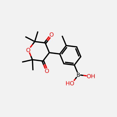 Cc1ccc(B(O)O)cc1C1C(=O)C(C)(C)OC(C)(C)C1=O